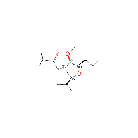 CO[C@@H]1[C@@H](CC(=O)C(C)C)[C@H](C(C)C)O[C@@H]1CC(C)C